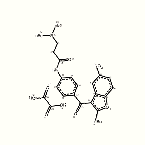 CCCCc1oc2ccc([N+](=O)[O-])cc2c1C(=O)c1ccc(NC(=O)CCN(CCCC)CCCC)cc1.O=C(O)C(=O)O